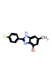 Cc1cc(Br)c2nc(-c3ccc(F)cc3)[nH]c2c1